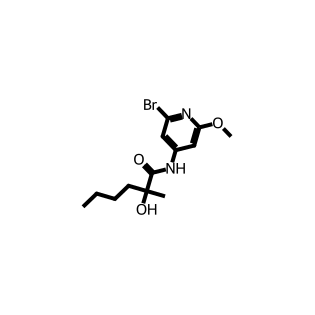 CCCCC(C)(O)C(=O)Nc1cc(Br)nc(OC)c1